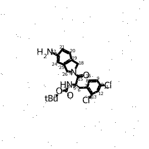 CC(C)(C)OC(=O)N[C@H](Cc1ccc(Cl)cc1Cl)C(=O)N1Cc2ccc(N)cc2C1